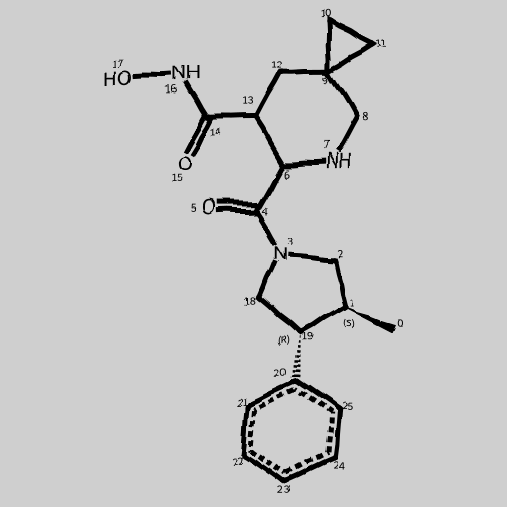 C[C@@H]1CN(C(=O)C2NCC3(CC3)CC2C(=O)NO)C[C@H]1c1ccccc1